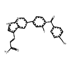 CC(C)c1ccc(C(=O)c2ccc(-c3cnc4[nH]cc(C=CC(N)=O)c4c3)cc2F)cc1